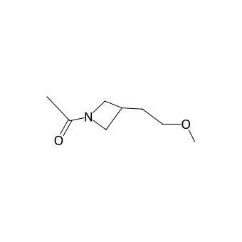 COCCC1CN(C(C)=O)C1